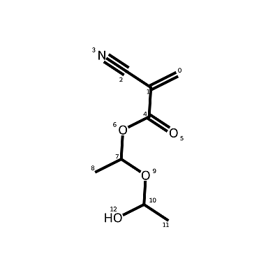 C=C(C#N)C(=O)OC(C)OC(C)O